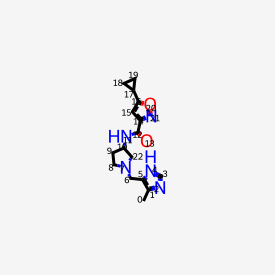 Cc1nc[nH]c1CN1CCC(NC(=O)c2cc(C3CC3)on2)C1